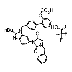 CCCCc1nc2ccc(N3C(=O)CN(Cc4ccccc4)C3=O)cc2n1Cc1ccc(-c2ccccc2OC(=O)O)cc1.O=C(O)C(F)(F)F